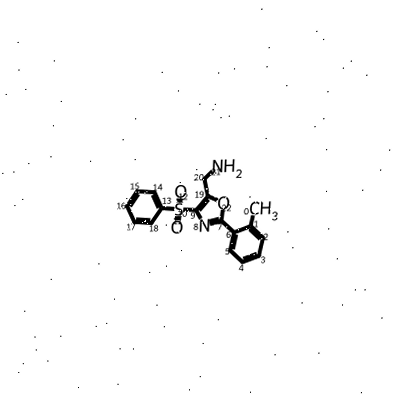 Cc1ccccc1-c1nc(S(=O)(=O)c2ccccc2)c(CN)o1